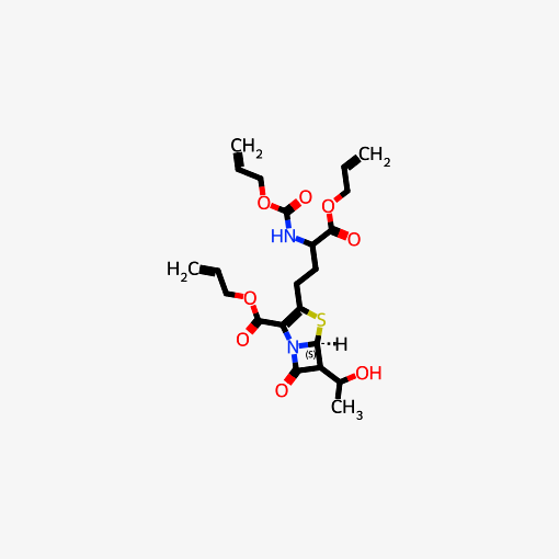 C=CCOC(=O)NC(CCC1=C(C(=O)OCC=C)N2C(=O)C(C(C)O)[C@@H]2S1)C(=O)OCC=C